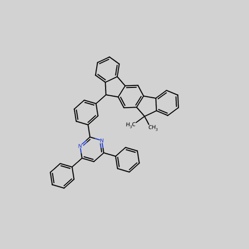 CC1(C)c2ccccc2-c2cc3c(cc21)C(c1cccc(-c2nc(-c4ccccc4)cc(-c4ccccc4)n2)c1)c1ccccc1-3